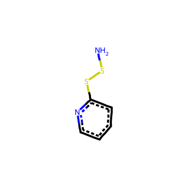 NSSc1ccccn1